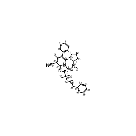 Cc1c(-c2ccccc2)c(N2CCCC2N(C)C)n2nc(C(C)(C)COCc3ccccc3)nc2c1C#N